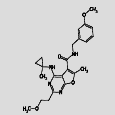 COCCc1nc(NC2(C)CC2)c2c(C(=O)NCc3cccc(OC)c3)c(C)oc2n1